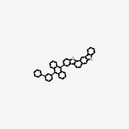 c1ccc(-c2cccc(-c3c4ccccc4c(-c4ccc5sc6c7cc8c(cc7ccc6c5c4)sc4ccccc48)c4ccccc34)c2)cc1